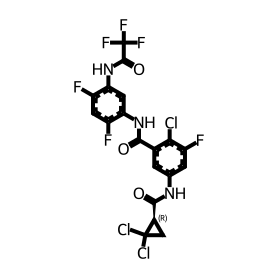 O=C(Nc1cc(NC(=O)C(F)(F)F)c(F)cc1F)c1cc(NC(=O)[C@H]2CC2(Cl)Cl)cc(F)c1Cl